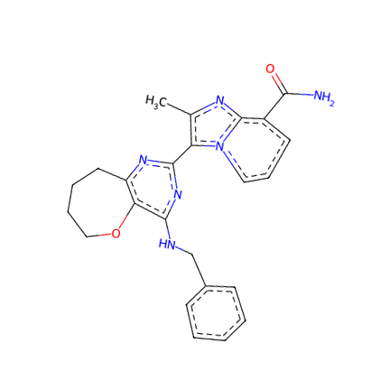 Cc1nc2c(C(N)=O)cccn2c1-c1nc2c(c(NCc3ccccc3)n1)OCCCC2